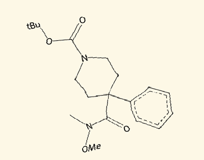 CON(C)C(=O)C1(c2ccccc2)CCN(C(=O)OC(C)(C)C)CC1